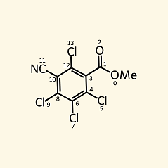 COC(=O)c1c(Cl)c(Cl)c(Cl)c(C#N)c1Cl